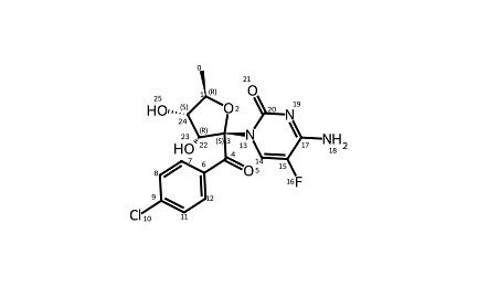 C[C@H]1O[C@@](C(=O)c2ccc(Cl)cc2)(n2cc(F)c(N)nc2=O)[C@H](O)[C@@H]1O